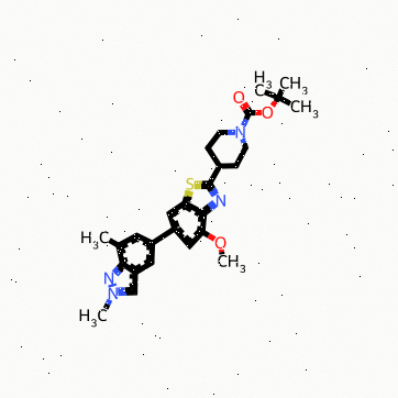 COc1cc(-c2cc(C)c3nn(C)cc3c2)cc2sc(C3CCN(C(=O)OC(C)(C)C)CC3)nc12